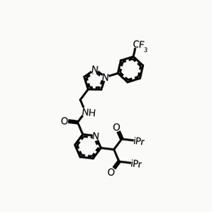 CC(C)C(=O)C(C(=O)C(C)C)c1cccc(C(=O)NCc2cnn(-c3cccc(C(F)(F)F)c3)c2)n1